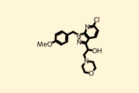 COc1ccc(Cn2nc(C(O)CN3CCOCC3)c3ccc(Cl)nc32)cc1